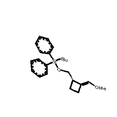 COC=C1CC[C@H]1CO[Si](c1ccccc1)(c1ccccc1)C(C)(C)C